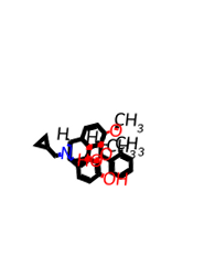 CO[C@]12C=C[C@@]3(C[C@]1(C)[C@H](O)c1ccccc1C)[C@H]1Cc4ccc(O)c5c4[C@@]3(CCN1CC1CC1)[C@H]2O5